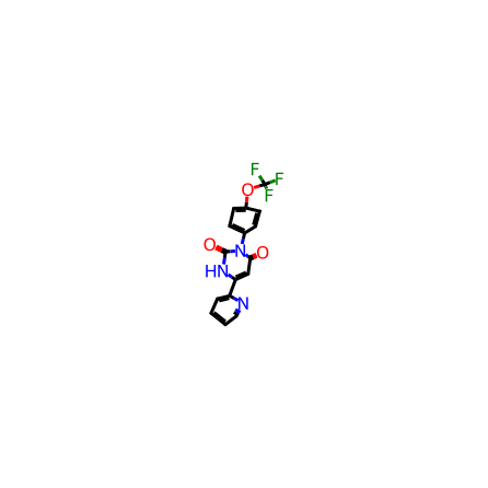 O=c1cc(-c2ccccn2)[nH]c(=O)n1-c1ccc(OC(F)(F)F)cc1